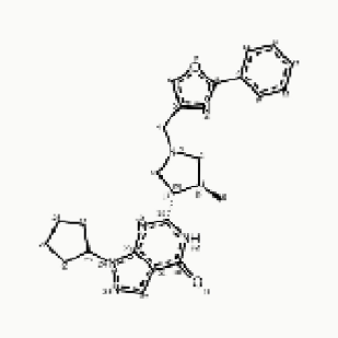 C[C@@H]1CN(Cc2coc(-c3ccccc3)n2)C[C@H]1c1nc2c(cnn2C2CCCC2)c(=O)[nH]1